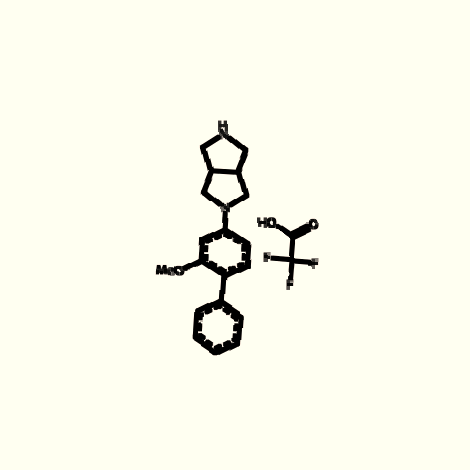 COc1cc(N2CC3CNCC3C2)ccc1-c1ccccc1.O=C(O)C(F)(F)F